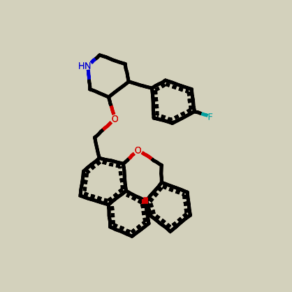 Fc1ccc(C2CCNCC2OCc2ccc3ccccc3c2OCc2ccccc2)cc1